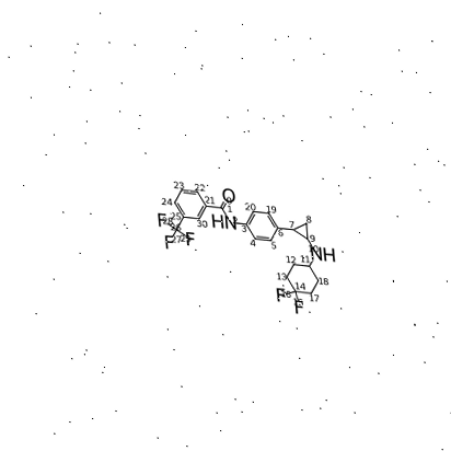 O=C(Nc1ccc(C2CC2NC2CCC(F)(F)CC2)cc1)c1cccc(C(F)(F)F)c1